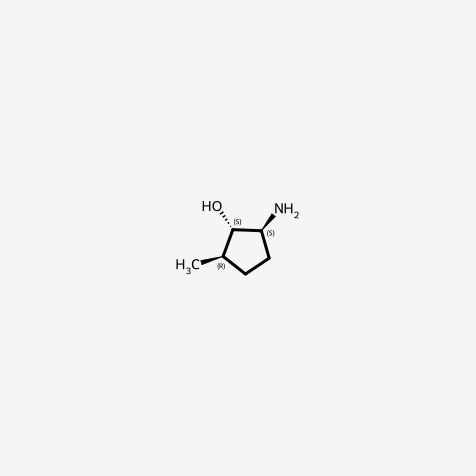 C[C@@H]1CC[C@H](N)[C@H]1O